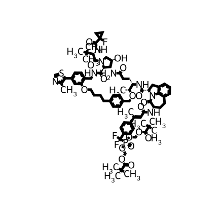 C/C(=C\C(=O)N[C@H]1CCc2cccc3c2N(C1=O)[C@H](C(=O)N[C@@H](CCC(N)=O)[C@@H](C)OCc1ccc(CCCCOc2cc(-c4scnc4C)ccc2CNC(=O)[C@@H]2C[C@@H](O)CN2C(=O)[C@@H](NC(=O)C2(F)CC2)C(C)(C)C)cc1)C3)c1ccc(C(F)(F)P(=O)(OCOC(=O)C(C)(C)C)OCOC(=O)C(C)(C)C)cc1